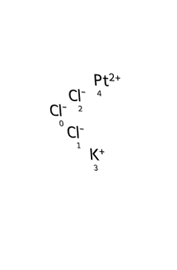 [Cl-].[Cl-].[Cl-].[K+].[Pt+2]